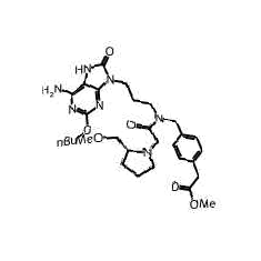 CCCCOc1nc(N)c2[nH]c(=O)n(CCCN(Cc3ccc(CC(=O)OC)cc3)C(=O)CN3CCC[C@H]3COC)c2n1